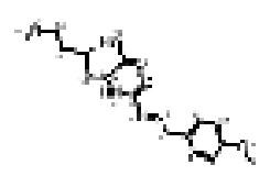 COc1ccc(CN=NC(=O)N[C@@H](CCCCN)C(=O)O)cc1